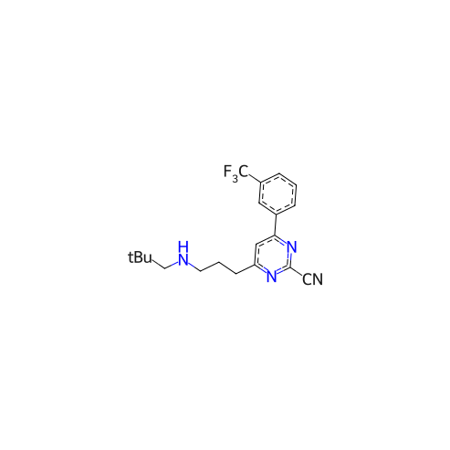 CC(C)(C)CNCCCc1cc(-c2cccc(C(F)(F)F)c2)nc(C#N)n1